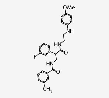 COc1ccc(NCCNC(=O)C(CNC(=O)c2cccc(C)c2)c2cccc(F)c2)cc1